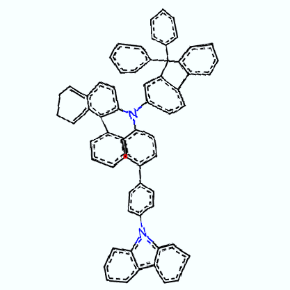 C1=c2ccc(N(c3ccc(-c4ccc(-n5c6ccccc6c6ccccc65)cc4)cc3)c3ccc4c(c3)C(c3ccccc3)(c3ccccc3)c3ccccc3-4)c(-c3ccccc3)c2=CCC1